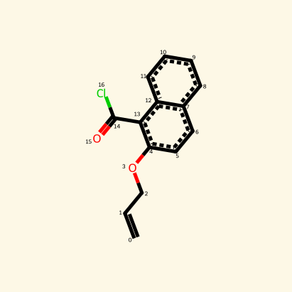 C=CCOc1ccc2ccccc2c1C(=O)Cl